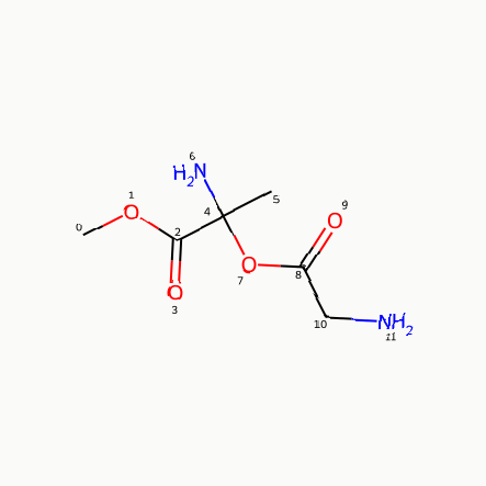 COC(=O)C(C)(N)OC(=O)CN